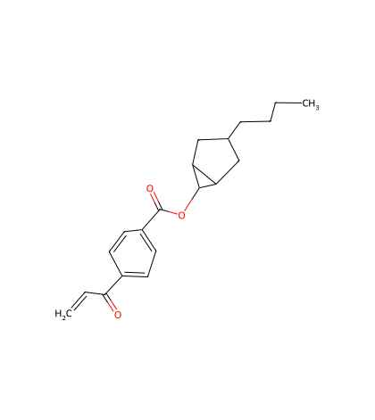 C=CC(=O)c1ccc(C(=O)OC2C3CC(CCCC)CC32)cc1